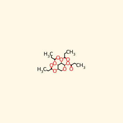 CCC(=O)O[C@H]1OC[C@@H](OC(=O)CC)[C@H](OC(=O)CC)[C@H]1OC(=O)CC